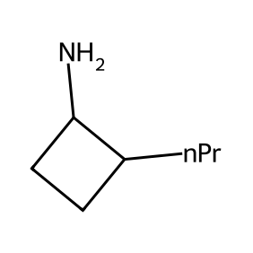 CCCC1CCC1N